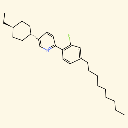 CCCCCCCCCc1ccc(-c2ccc([C@H]3CC[C@H](CC)CC3)cn2)c(F)c1